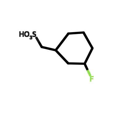 O=S(=O)(O)CC1CCCC(F)C1